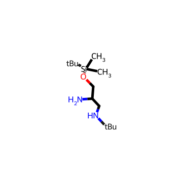 CC(C)(C)NCC(N)CO[Si](C)(C)C(C)(C)C